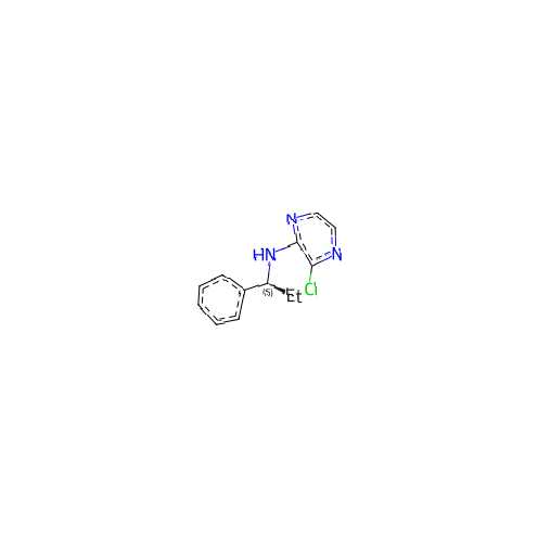 CC[C@H](Nc1nccnc1Cl)c1ccccc1